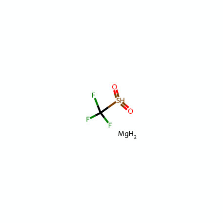 O=[SH](=O)C(F)(F)F.[MgH2]